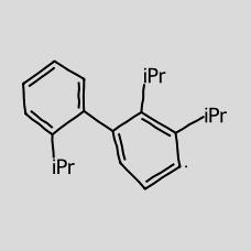 CC(C)c1[c]ccc(-c2ccccc2C(C)C)c1C(C)C